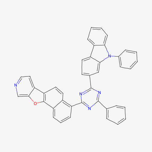 c1ccc(-c2nc(-c3ccc4c5ccccc5n(-c5ccccc5)c4c3)nc(-c3cccc4c3ccc3c5ccncc5oc43)n2)cc1